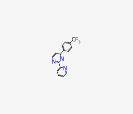 FC(F)(F)c1ccc(-c2ccnc(-c3ccccn3)n2)cc1